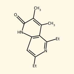 CCc1cc2[nH]c(=O)c(C)c(C)c2c(CC)n1